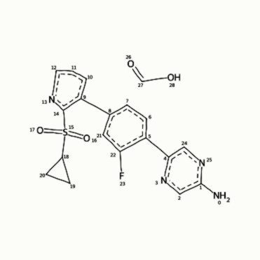 Nc1cnc(-c2ccc(-c3cccnc3S(=O)(=O)C3CC3)cc2F)cn1.O=CO